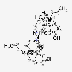 C=CCN1CC[C@]23c4c5ccc(O)c4O[C@H]2/C(=N\N=C2/CC[C@@]4(O)[C@H]6Cc7ccc(O)c8c7[C@@]4(CCN6CC=C)[C@H]2O8)CC[C@@]3(O)[C@H]1C5